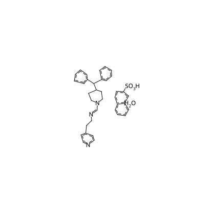 C(=NCCc1ccncc1)N1CCC(C(c2ccccc2)c2ccccc2)CC1.O.O=S(=O)(O)c1ccc2ccccc2c1